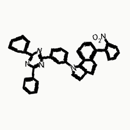 O=[N+]([O-])c1ccccc1-c1cccc2c1ccc1ccn(-c3cccc(-c4nc(-c5ccccc5)nc(-c5ccccc5)n4)c3)c12